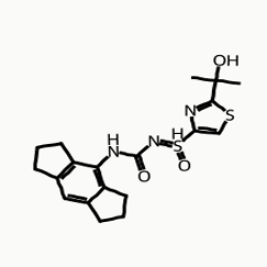 CC(C)(O)c1nc(/[SH](=O)=N/C(=O)Nc2c3c(cc4c2CCC4)CCC3)cs1